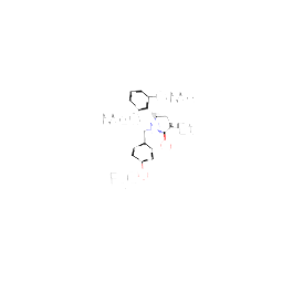 CC[C@H]1C[C@@H](c2c(OC)cccc2OC)N(Cc2ccc(OC(F)(F)F)cc2)C1=O